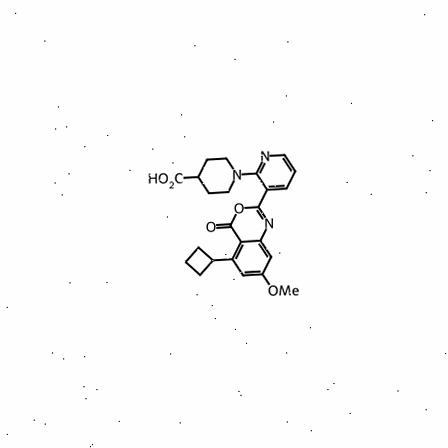 COc1cc(C2CCC2)c2c(=O)oc(-c3cccnc3N3CCC(C(=O)O)CC3)nc2c1